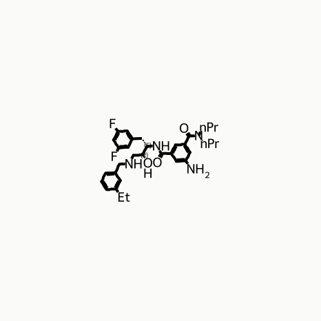 CCCN(CCC)C(=O)c1cc(N)cc(C(=O)N[C@@H](Cc2cc(F)cc(F)c2)[C@H](O)CNCc2cccc(CC)c2)c1